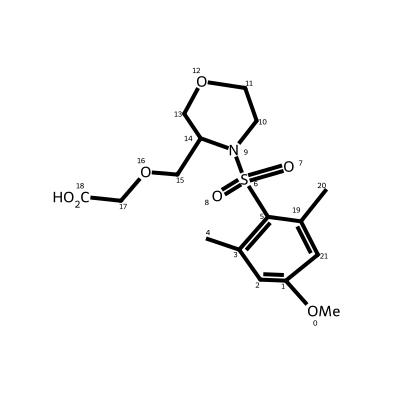 COc1cc(C)c(S(=O)(=O)N2CCOCC2COCC(=O)O)c(C)c1